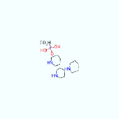 C1CCNCC1.C1CCNCC1.C1CCNCC1.O=C(O)P(=O)(O)O